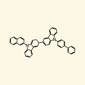 C1=c2c(n(-c3ccc4ccccc4c3)c3ccccc23)=CCC1c1ccc2c(c1)c1ccccc1n2-c1ccc(-c2ccccc2)cc1